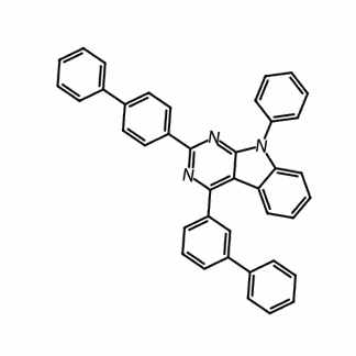 c1ccc(-c2ccc(-c3nc(-c4cccc(-c5ccccc5)c4)c4c5ccccc5n(-c5ccccc5)c4n3)cc2)cc1